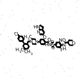 C[C@@H]1CN(c2ccc(C(=O)NS(=O)(=O)c3cc(F)c(NCC4CCOCC4)c([N+](=O)[O-])c3)c(Oc3cnc4[nH]ccc4c3)c2)CCN1CC1=C(c2ccc(Cl)cc2)CC(C)(C)CC1